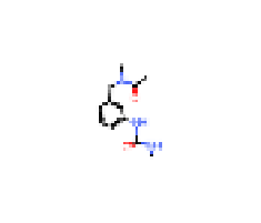 CNC(=O)Nc1cccc(CN(C)C(C)=O)c1